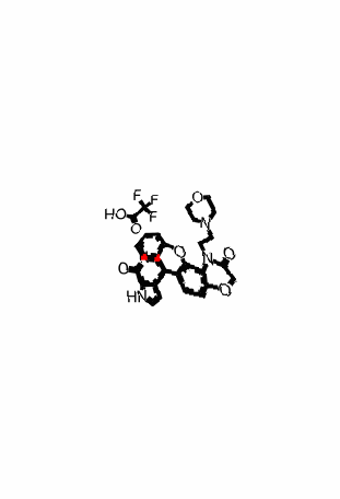 Cn1cc(-c2ccc3c(c2Oc2ccccc2)N(CCN2CCOCC2)C(=O)CO3)c2cc[nH]c2c1=O.O=C(O)C(F)(F)F